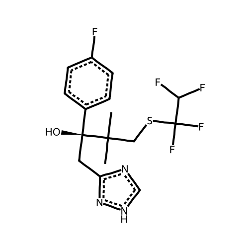 CC(C)(CSC(F)(F)C(F)F)[C@](O)(Cc1nc[nH]n1)c1ccc(F)cc1